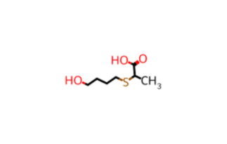 CC(SCCCCO)C(=O)O